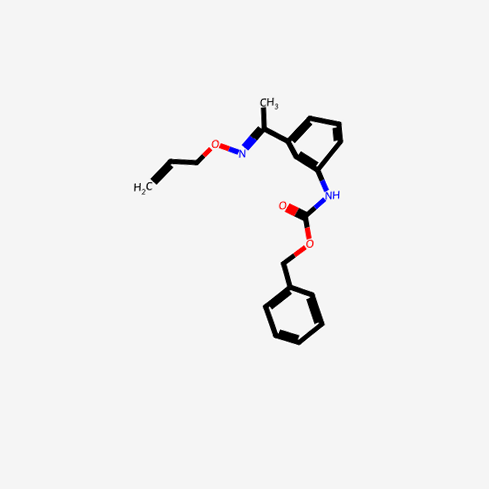 C=CCON=C(C)c1cccc(NC(=O)OCc2ccccc2)c1